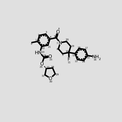 Cc1ccc(C(=O)N2CCC(F)(c3ccc(N)cc3)CC2)cc1NC(=O)O[C@@H]1CCOC1